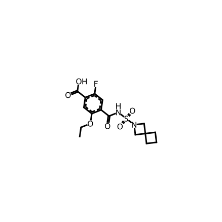 CCOc1cc(C(=O)O)c(F)cc1C(=O)NS(=O)(=O)N1CC2(CCC2)C1